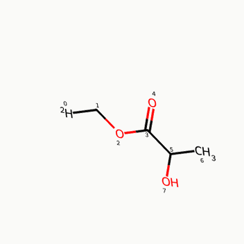 [2H]COC(=O)C(C)O